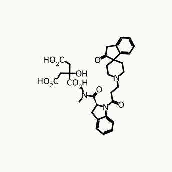 CN(C)C(=O)[C@@H]1Cc2ccccc2N1C(=O)CCN1CCC2(CC1)C(=O)Cc1ccccc12.O=C(O)CC(O)(CC(=O)O)C(=O)O